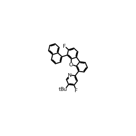 CC(C)(C)c1cnc(-c2cccc3c2oc2c(-c4cccc5ccccc45)c(F)ccc23)cc1F